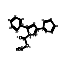 CCCCOC(=O)n1nc(-c2ccccc2)cc1-c1ccccc1